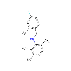 Cc1ccc(C#N)c(C)c1NCc1ccc(F)cc1C(F)(F)F